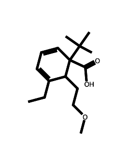 CCC1=CC=CC(C(=O)O)(C(C)(C)C)C1CCOC